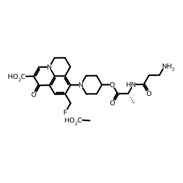 CC(=O)O.C[C@@H](NC(=O)CCN)C(=O)OC1CCN(c2c(CF)cc3c(=O)c(C(=O)O)cn4c3c2CCC4)CC1